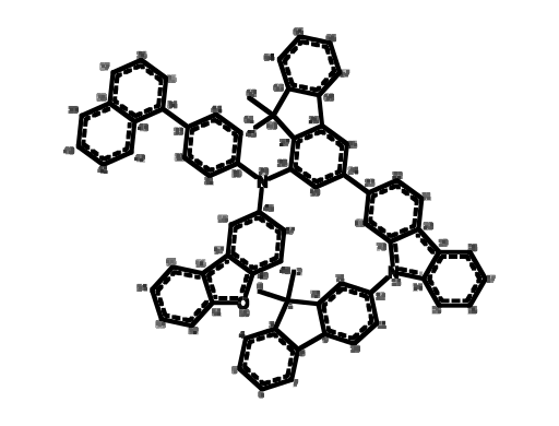 CC1(C)c2ccccc2-c2ccc(-n3c4ccccc4c4ccc(-c5cc6c(c(N(c7ccc(-c8cccc9ccccc89)cc7)c7ccc8oc9ccccc9c8c7)c5)C(C)(C)c5ccccc5-6)cc43)cc21